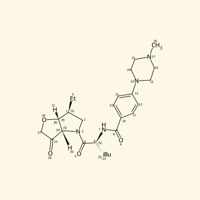 CC[C@H]1CN(C(=O)[C@@H](NC(=O)c2ccc(N3CCN(C)CC3)cc2)[C@@H](C)CC)[C@@H]2C(=O)CO[C@H]12